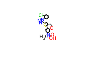 CN(C(=O)O)c1ccc2c(c1)OCCc1cc(-c3nncn3-c3ccccc3Cl)sc1-2